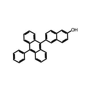 Oc1ccc2cc(-c3c4ccccc4c(-c4ccccc4)c4ccccc34)ccc2c1